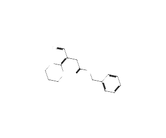 N=CC(CC(=O)OCc1ccccc1)=C1SCCCS1